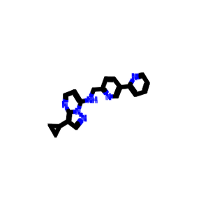 c1ccc(-c2ccc(CNc3ccnc4c(C5CC5)cnn34)nc2)nc1